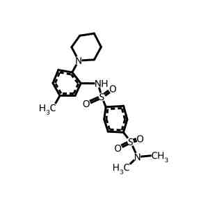 Cc1ccc(N2CCCCC2)c(NS(=O)(=O)c2ccc(S(=O)(=O)N(C)C)cc2)c1